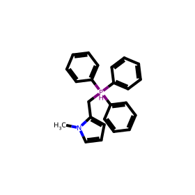 Cn1cccc1C[PH](c1ccccc1)(c1ccccc1)c1ccccc1